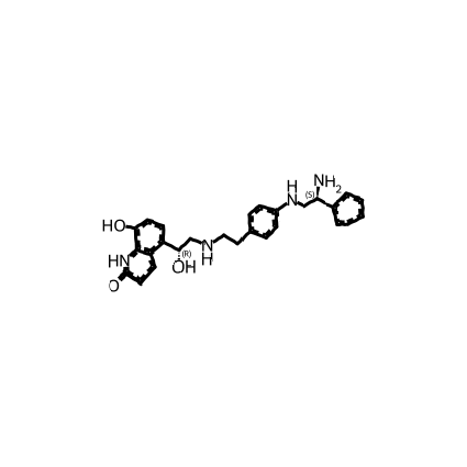 N[C@H](CNc1ccc(CCNC[C@H](O)c2ccc(O)c3[nH]c(=O)ccc23)cc1)c1ccccc1